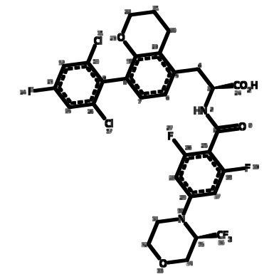 O=C(N[C@@H](Cc1ccc(-c2c(Cl)cc(F)cc2Cl)c2c1CCCO2)C(=O)O)c1c(F)cc(N2CCOC[C@@H]2C(F)(F)F)cc1F